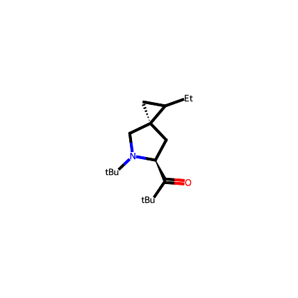 CCC1C[C@@]12C[C@@H](C(=O)C(C)(C)C)N(C(C)(C)C)C2